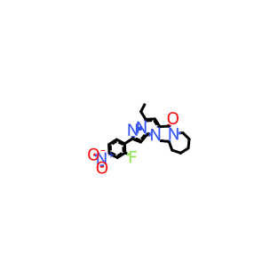 CCc1cc(C(=O)N2CCCCCC2C)nc2cc(-c3ccc([N+](=O)[O-])cc3F)nn12